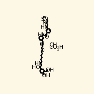 CC(=O)O.O=C(Nc1cccc(COCCOCCCCCCNC[C@H](O)c2ccc(O)c(CO)c2)c1)c1cccc(NCc2cn3c(n2)SCC3)c1